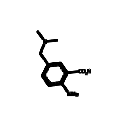 CNc1ccc(CN(C)C)cc1C(=O)O